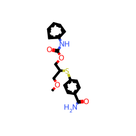 COCC(COC(=O)Nc1ccccc1)Sc1ccc(C(N)=O)cc1